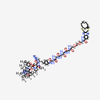 CC[C@H](C)[C@@H]([C@@H](CC(=O)N1CCC[C@H]1[C@H](OC)[C@@H](C)C(=O)N[C@@H](CCc1ccc(NC(=O)CNC(=O)CNC(=O)CNC(=O)CNC(=O)CNC(=O)CCOCCOCCNC(=O)c2ccc3nc4c(nc3c2)CSC2CCCCCCC3CC3(C2)SC4)cc1)CN=[N+]=[N-])OC)N(C)C(=O)[C@@H](NC(=O)[C@H](C(C)C)N(C)C)C(C)C